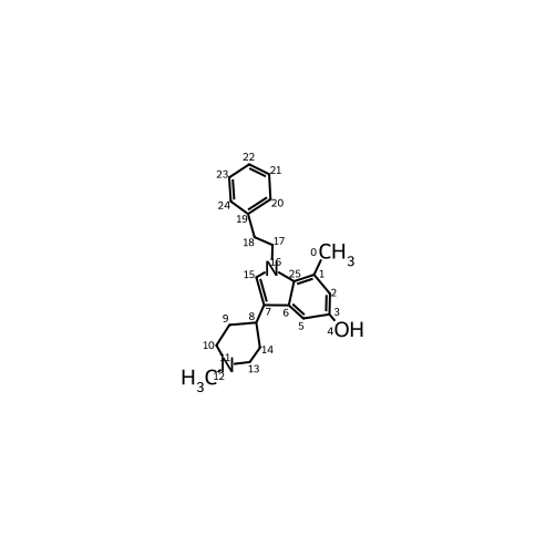 Cc1cc(O)cc2c(C3CCN(C)CC3)cn(CCc3ccccc3)c12